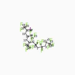 CC(F)(CC(F)(F)CC(F)(F)CC(CC(CC(I)C(F)(F)F)C(F)(F)F)C(F)(F)F)C(F)(F)F